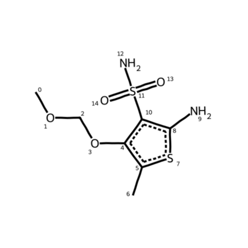 COCOc1c(C)sc(N)c1S(N)(=O)=O